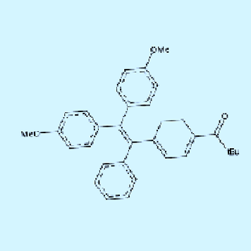 COc1ccc(C(=C(C2=CC=C(C(=O)C(C)(C)C)CC2)c2ccccc2)c2ccc(OC)cc2)cc1